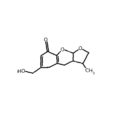 CC1COC2OC3=C(CC(CO)=CC3=O)CC12